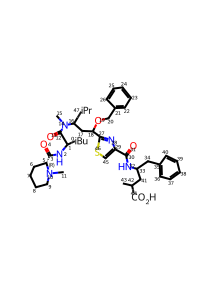 CCC(C)C(NC(=O)[C@H]1CCCCN1C)C(=O)N(C)C(CC(OCc1ccccc1)c1nc(C(=O)NC(Cc2ccccc2)CC(C)C(=O)O)cs1)C(C)C